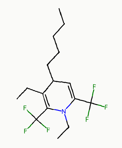 CCCCCC1C=C(C(F)(F)F)N(CC)C(C(F)(F)F)=C1CC